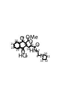 COC1OC(C(=O)NCCN2CCCC2)=CC2=C1C(=O)c1ccccc1C2=O.Cl